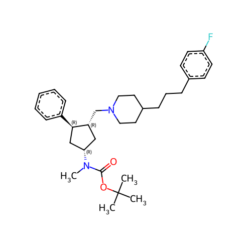 CN(C(=O)OC(C)(C)C)[C@H]1C[C@@H](CN2CCC(CCCc3ccc(F)cc3)CC2)[C@H](c2ccccc2)C1